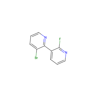 Fc1ncccc1-c1ncccc1Br